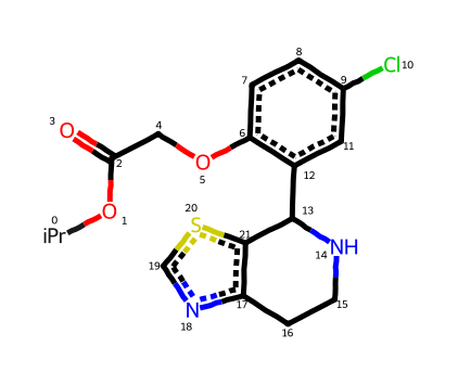 CC(C)OC(=O)COc1ccc(Cl)cc1C1NCCc2ncsc21